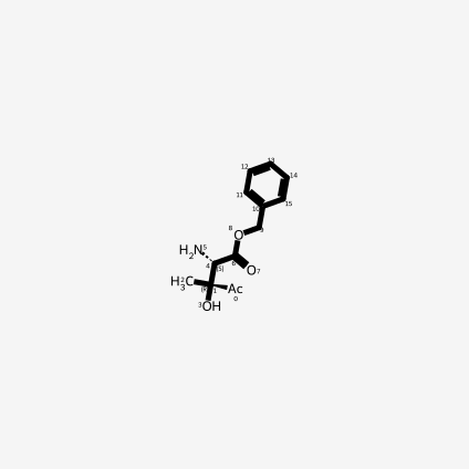 CC(=O)[C@](C)(O)[C@H](N)C(=O)OCc1ccccc1